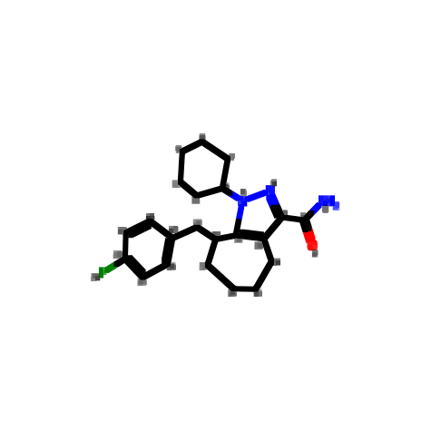 NC(=O)c1nn(C2CCCCC2)c2c1CCCCC2Cc1ccc(F)cc1